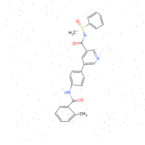 Cc1ccccc1C(=O)Nc1ccc(-c2cncc(C(=O)N=[S@@](C)(=O)c3ccccc3)c2)cc1